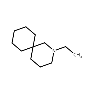 CCN1CCCC2(CCCCC2)C1